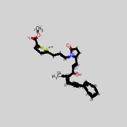 COC(=O)c1ccc(CCCN2C(=O)CCC2/C=C/C(O)C(C)CC#Cc2ccccc2)s1